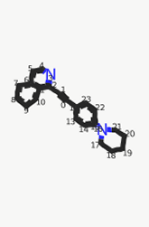 C(#Cc1nccc2ccccc12)c1ccc(N2CCCCC2)cc1